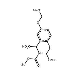 COCOc1ccc(OCOC)c(C(NC(=O)OC(C)(C)C)C(=O)O)c1